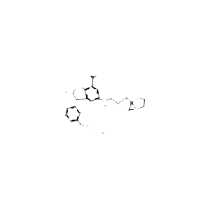 CC(C)(C)OC=O.CNC(=O)c1cc(N(C=O)CCCC23CN2CCO3)cc2c1O[C@H](C)[C@H]2c1cccc(OC)c1